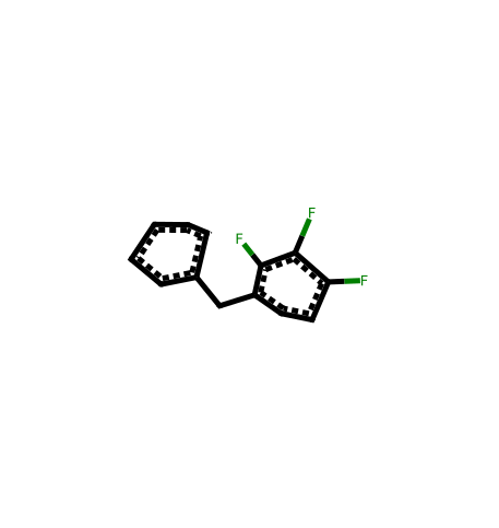 Fc1ccc(Cc2[c]cccc2)c(F)c1F